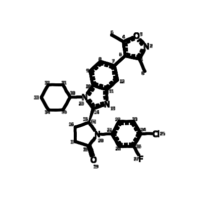 Cc1noc(C)c1-c1ccc2c(c1)nc([C@@H]1CCC(=O)N1c1ccc(Cl)c(F)c1)n2C1CCCCC1